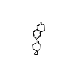 C1=NCCc2cc(N3CCC4(CC3)CC4)ccc21